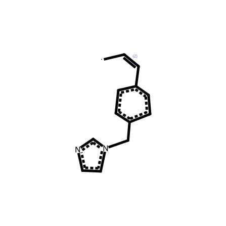 [CH2]/C=C\c1ccc(Cn2ccnc2)cc1